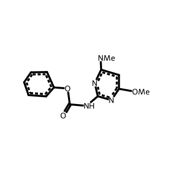 CNc1cc(OC)nc(NC(=O)Oc2ccccc2)n1